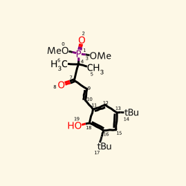 COP(=O)(OC)C(C)(C)C(=O)C=Cc1cc(C(C)(C)C)cc(C(C)(C)C)c1O